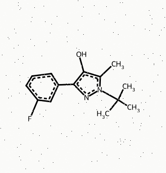 Cc1c(O)c(-c2cccc(F)c2)nn1C(C)(C)C